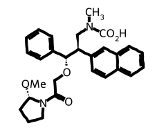 CO[C@H]1CCCN1C(=O)CO[C@H](c1ccccc1)[C@@H](CN(C)C(=O)O)c1ccc2ccccc2c1